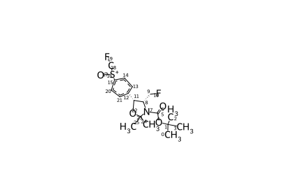 CC(C)(C)OC(=O)N1[C@@H](CF)[C@@H](c2ccc([S+]([O-])CF)cc2)OC1(C)C